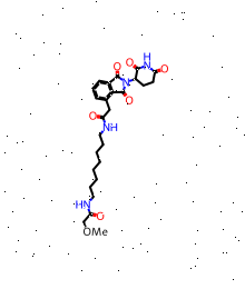 COCC(=O)NCCCCCCCCNC(=O)Cc1cccc2c1C(=O)N(C1CCC(=O)NC1=O)C2=O